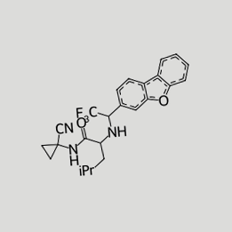 CC(C)CC(NC(c1ccc2c(c1)oc1ccccc12)C(F)(F)F)C(=O)NC1(C#N)CC1